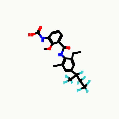 CCc1cc(C(F)(C(F)(F)F)C(F)(F)C(F)(F)F)cc(C)c1NC(=O)c1cccc(NC(=O)O)c1OC